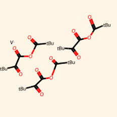 CC(C)(C)C(=O)OC(=O)C(=O)C(C)(C)C.CC(C)(C)C(=O)OC(=O)C(=O)C(C)(C)C.CC(C)(C)C(=O)OC(=O)C(=O)C(C)(C)C.[V]